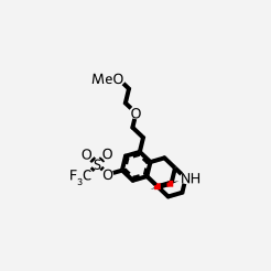 COCCOCCc1cc(OS(=O)(=O)C(F)(F)F)cc2c1CC1NCCC23CCCCC13